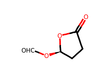 O=CO[C@@H]1CCC(=O)O1